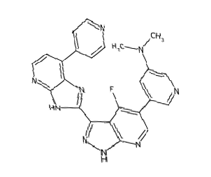 CN(C)c1cncc(-c2cnc3[nH]nc(-c4nc5c(-c6ccncc6)ccnc5[nH]4)c3c2F)c1